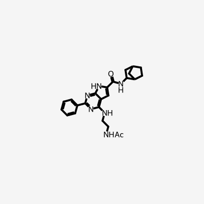 CC(=O)NCCNc1nc(-c2ccccc2)nc2[nH]c(C(=O)NC3CC4CCC3C4)cc12